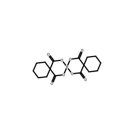 O=C1O[B-]2(OC(=O)C13CCCCC3)OC(=O)C1(CCCCC1)C(=O)O2